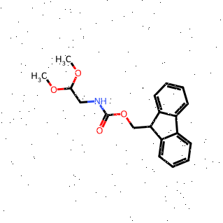 COC(CNC(=O)OCC1c2ccccc2-c2ccccc21)OC